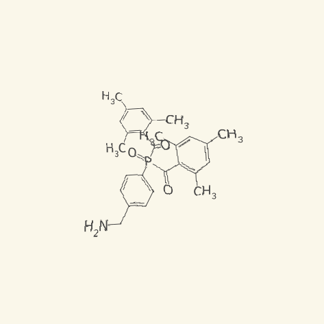 Cc1cc(C)c(C(=O)P(=O)(C(=O)c2c(C)cc(C)cc2C)c2ccc(CN)cc2)c(C)c1